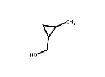 CC1C[C]1CO